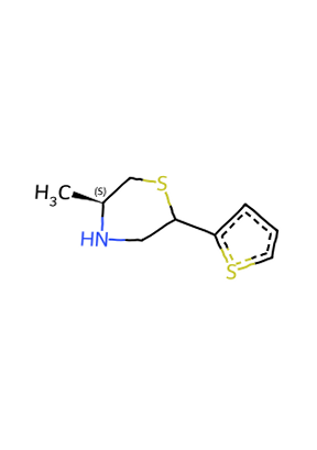 C[C@H]1CSC(c2cccs2)CN1